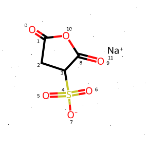 O=C1CC(S(=O)(=O)[O-])C(=O)O1.[Na+]